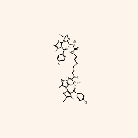 CC[C@@H](C(=O)NCCCCCCNC(=O)[C@H](CC)[C@@H]1N=C(c2ccc(Cl)cc2)c2c(sc(C)c2C)-n2c(C)nnc21)[C@@H]1N=C(c2ccc(Cl)cc2)c2c(sc(C)c2C)-n2c(C)nnc21